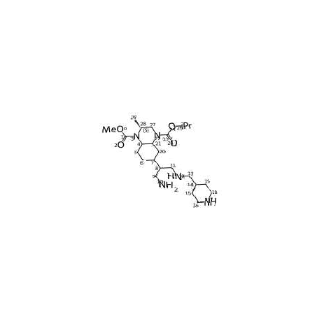 COC(=O)N1C2CCC(C(CN)CNCC3CCNCC3)CC2N(C(=O)OC(C)C)C[C@@H]1C